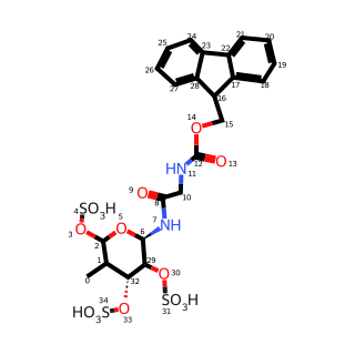 CC1C(OS(=O)(=O)O)O[C@@H](NC(=O)CNC(=O)OCC2c3ccccc3-c3ccccc32)C(OS(=O)(=O)O)[C@@H]1OS(=O)(=O)O